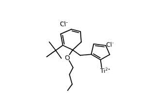 CCCCOC1(CC2=[C]([Ti+2])CC=C2)CC=CC=C1C(C)(C)C.[Cl-].[Cl-]